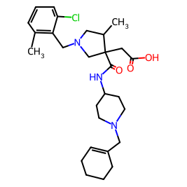 Cc1cccc(Cl)c1CN1CC(C)C(CC(=O)O)(C(=O)NC2CCN(CC3=CCCCC3)CC2)C1